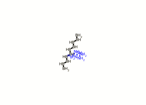 BBBBBBBBBB.NN.NN.NN